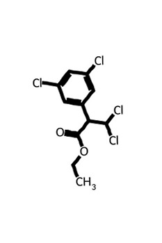 CCOC(=O)C(c1cc(Cl)cc(Cl)c1)C(Cl)Cl